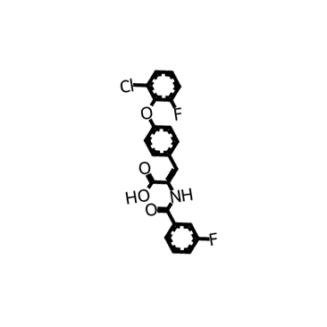 O=C(O)/C(=C\c1ccc(Oc2c(F)cccc2Cl)cc1)NC(=O)c1cccc(F)c1